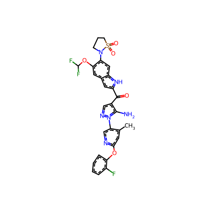 Cc1cc(Oc2ccccc2F)ncc1-n1ncc(C(=O)c2cc3cc(OC(F)F)c(N4CCCS4(=O)=O)cc3[nH]2)c1N